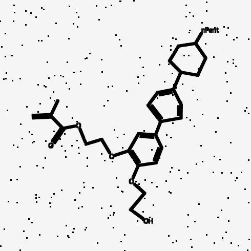 C=C(C)C(=O)OCCOc1cc(-c2ccc(C3CCC(CCCCC)CC3)cc2)ccc1OCCO